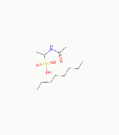 CC(=O)NC(C)S(=O)(=O)O.CCCCCCCC